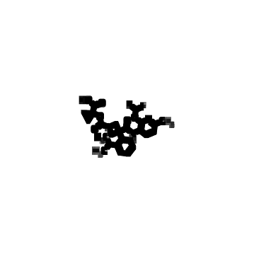 Cc1ccc(NC(=O)C2(c3ccccc3C(C)C)CN(C(=O)OC3(C(=O)O)CC3)C2)c(OC(F)F)n1